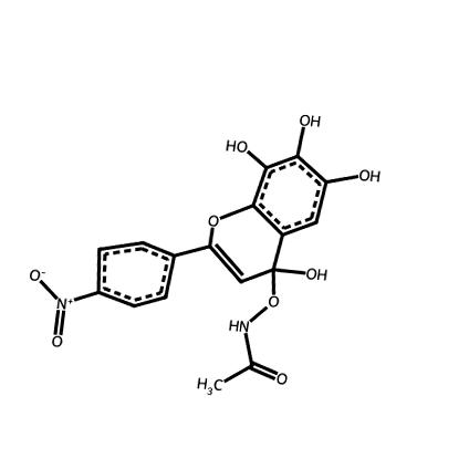 CC(=O)NOC1(O)C=C(c2ccc([N+](=O)[O-])cc2)Oc2c1cc(O)c(O)c2O